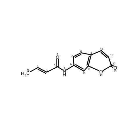 CC=CC(=O)Nc1ccc2ccc(=O)oc2c1